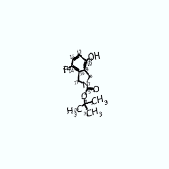 CC(C)(C)OC(=O)N1Cc2c(O)ccc(F)c2C1